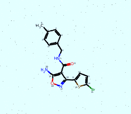 Cc1ccc(CNC(=O)c2c(-c3ccc(Br)s3)noc2N)cc1